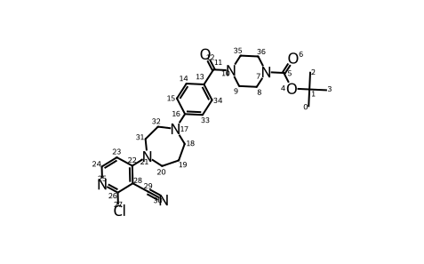 CC(C)(C)OC(=O)N1CCN(C(=O)c2ccc(N3CCCN(c4ccnc(Cl)c4C#N)CC3)cc2)CC1